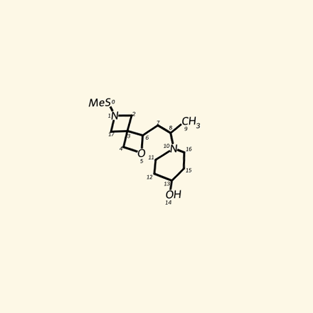 CSN1CC2(COC2CC(C)N2CCC(O)CC2)C1